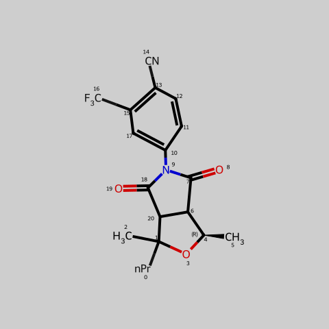 CCCC1(C)O[C@H](C)C2C(=O)N(c3ccc(C#N)c(C(F)(F)F)c3)C(=O)C21